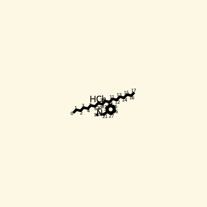 CCCCCCCCCCCCCCCCCC.CN(C)Cc1ccccc1.Cl